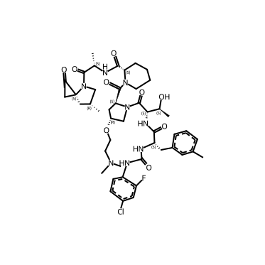 Cc1cccc(C[C@H](NC(=O)Nc2ccc(Cl)cc2F)C(=O)N[C@H](C(=O)N2C[C@H](OCCN(C)C)C[C@H]2C(=O)N2CCCC[C@H]2C(=O)N[C@@H](C)C(=O)N2C[C@H](C)C[C@@]23CC3=O)[C@H](C)O)c1